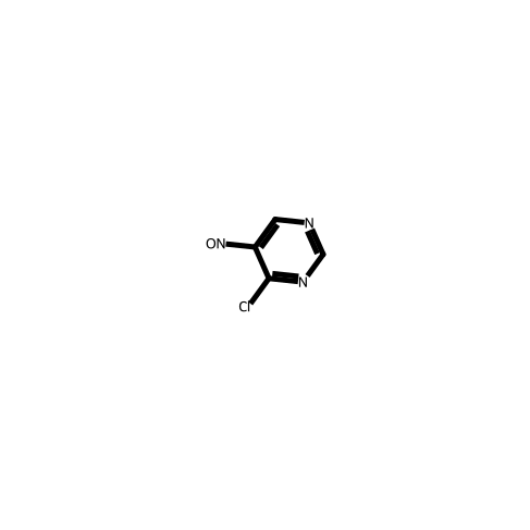 O=Nc1cncnc1Cl